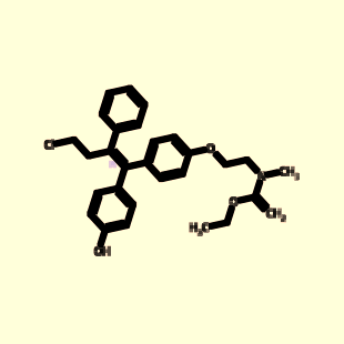 C=C(OCC)N(C)CCOc1ccc(/C(=C(/CCCl)c2ccccc2)c2ccc(O)cc2)cc1